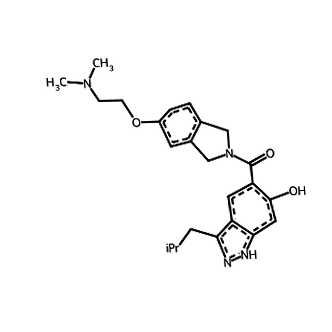 CC(C)Cc1n[nH]c2cc(O)c(C(=O)N3Cc4ccc(OCCN(C)C)cc4C3)cc12